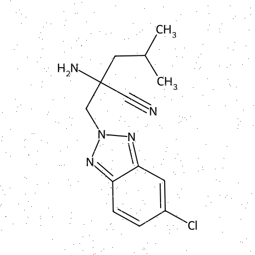 CC(C)CC(N)(C#N)Cn1nc2ccc(Cl)cc2n1